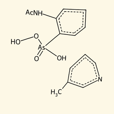 CC(=O)Nc1ccccc1[As](=O)(O)OO.Cc1cccnc1